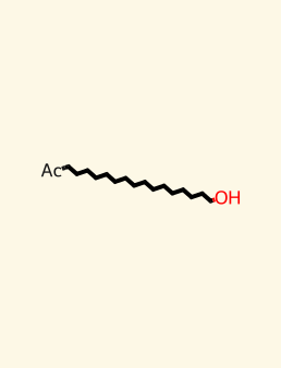 CC(=O)CCCCCCCCCCCCCCCCO